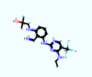 CCNc1nc(Nc2cccc(NCC(C)(C)O)c2C=N)ncc1C(F)(F)F